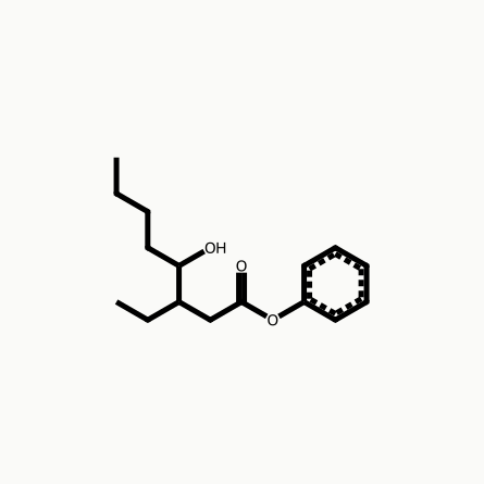 CCCCC(O)C(CC)CC(=O)Oc1ccccc1